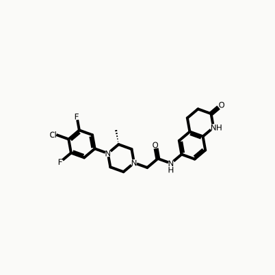 C[C@@H]1CN(CC(=O)Nc2ccc3c(c2)CCC(=O)N3)CCN1c1cc(F)c(Cl)c(F)c1